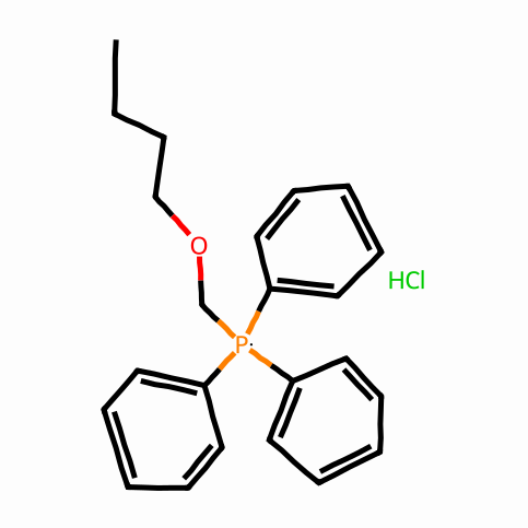 CCCCOC[P](c1ccccc1)(c1ccccc1)c1ccccc1.Cl